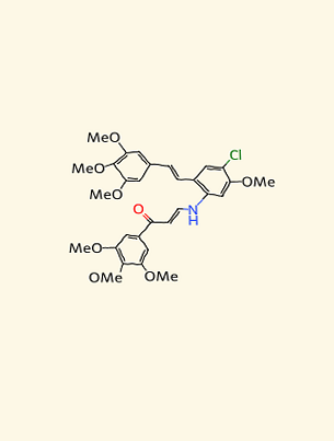 COc1cc(NC=CC(=O)c2cc(OC)c(OC)c(OC)c2)c(C=Cc2cc(OC)c(OC)c(OC)c2)cc1Cl